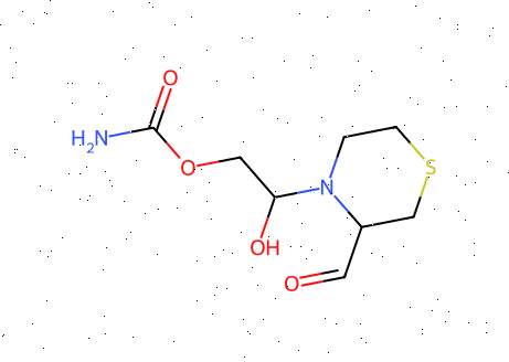 NC(=O)OCC(O)N1CCSCC1C=O